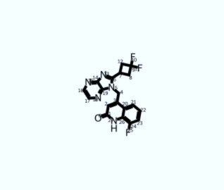 O=c1cc(Cn2c(C3CC(F)(F)C3)nc3nccnc32)c2cccc(F)c2[nH]1